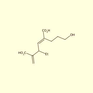 C=C(C(=O)O)C(C=C(CCCO)C(=O)O)CC